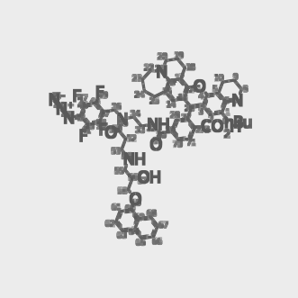 CCCCc1cc2c(c3c1=NCCC3)Oc1c(cc3c4c1CCCN4CCCC3)C=2c1cc(C(=O)NCCN(Cc2c(F)c(F)c(N=[N+]=[N-])c(F)c2F)C(=O)CCNC[C@H](O)COc2cccc3ccccc23)ccc1C(=O)O